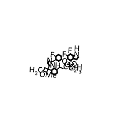 COC1(C)CC(c2cccc(CCC(=O)O)c2)(c2cnc(-c3cc(Oc4c(F)c(F)c5[nH]ccc5c4S(C)(=O)=O)ccc3F)[nH]2)C1